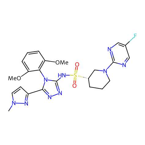 COc1cccc(OC)c1-n1c(NS(=O)(=O)[C@H]2CCCN(c3ncc(F)cn3)C2)nnc1-c1ccn(C)n1